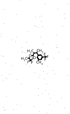 Cc1cc(C(C)C(C)C(=O)OC(C)C(F)(F)F)cc(C(F)(F)F)c1